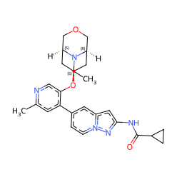 CCN1[C@@H]2COC[C@H]1C[C@@H](Oc1cnc(C)cc1-c1ccn3nc(NC(=O)C4CC4)cc3c1)C2